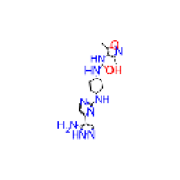 Cc1noc(C)c1NC(O)N[C@H]1CC[C@@H](Nc2nccc(-c3cn[nH]c3N)n2)CC1